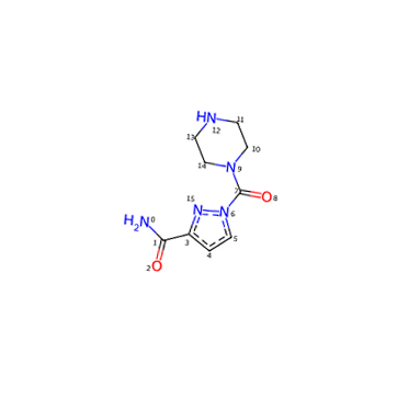 NC(=O)c1ccn(C(=O)N2CCNCC2)n1